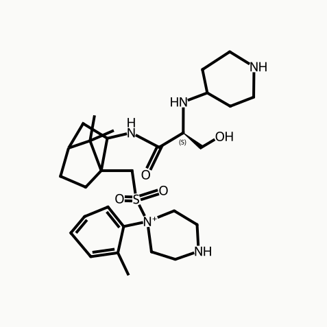 Cc1ccccc1[N+]1(S(=O)(=O)CC23CCC(CC2NC(=O)[C@H](CO)NC2CCNCC2)C3(C)C)CCNCC1